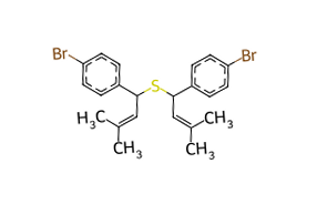 CC(C)=CC(SC(C=C(C)C)c1ccc(Br)cc1)c1ccc(Br)cc1